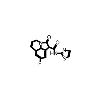 O=C(Nc1nccs1)C1C(=O)N2CC=CC3C=C(F)C=C1C32